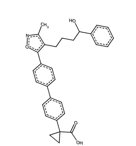 Cc1noc(-c2ccc(-c3ccc(C4(C(=O)O)CC4)cc3)cc2)c1CCCC(O)c1ccccc1